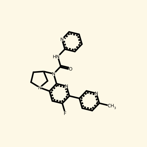 Cc1ccc(-c2nc3c(cc2F)N2CCC(C2)N3C(=O)Nc2ccccn2)cn1